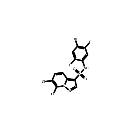 O=S(=O)(Nc1cc(F)c(Br)cc1F)c1cnn2c(Cl)c(Cl)ccc12